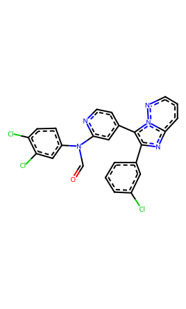 O=CN(c1ccc(Cl)c(Cl)c1)c1cc(-c2c(-c3cccc(Cl)c3)nc3cccnn23)ccn1